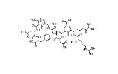 CC(C)[C@H](NC(=O)[C@H](CO)NC(=O)CNC(=O)[C@H](CC(=O)O)NC(=O)[C@H](CCC(=O)O)NC(=O)[C@H](CCCNC(=N)N)NC(=O)[C@@H](N)CCCNC(=N)N)C(=O)N[C@@H](CC(=O)O)C(=O)N[C@@H](Cc1ccccc1)C(=O)O